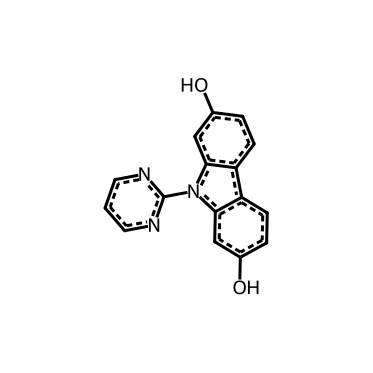 Oc1ccc2c3ccc(O)cc3n(-c3ncccn3)c2c1